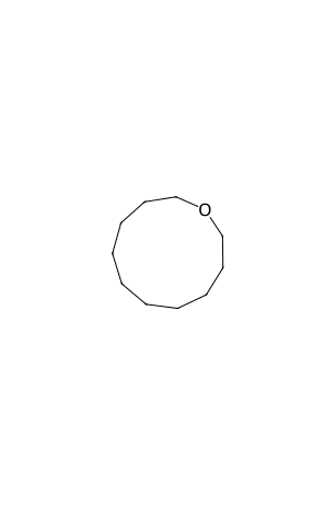 C1CCCCCOCCCC1